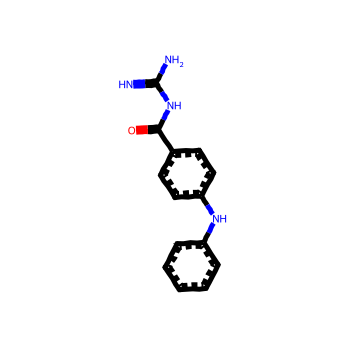 N=C(N)NC(=O)c1ccc(Nc2[c]cccc2)cc1